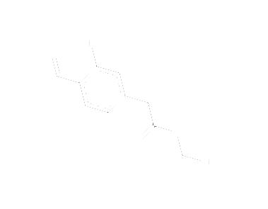 CCOC(=O)Cc1ccc(C=O)c(F)c1